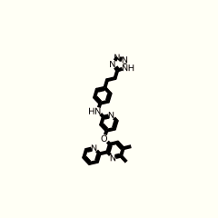 Cc1cc(Oc2ccnc(Nc3ccc(CCc4nnn[nH]4)cc3)c2)c(-c2ccccn2)nc1C